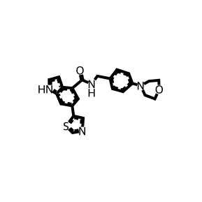 O=C(NCc1ccc(N2CCOCC2)cc1)c1cc(-c2cncs2)cc2[nH]ccc12